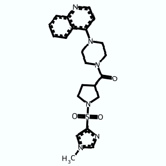 Cn1cnc(S(=O)(=O)N2CCC(C(=O)N3CCN(c4ccnc5ccccc45)CC3)C2)c1